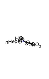 CCCCCCCC(=O)CC[C@@H]1[C@@H](C/C=C\CCCC(=O)OCCSCCO[N+](=O)[O-])CC[C@H]1O